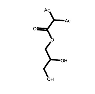 CC(=O)C(C(C)=O)C(=O)OCC(O)CO